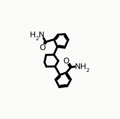 NC(=O)c1ccccc1C1CCCC(c2ccccc2C(N)=O)C1